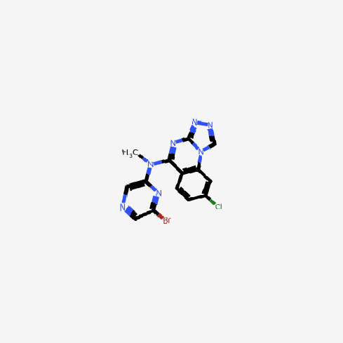 CN(c1cncc(Br)n1)c1nc2nncn2c2cc(Cl)ccc12